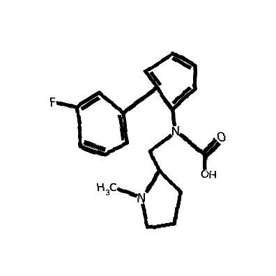 CN1CCCC1CN(C(=O)O)c1ccccc1-c1cccc(F)c1